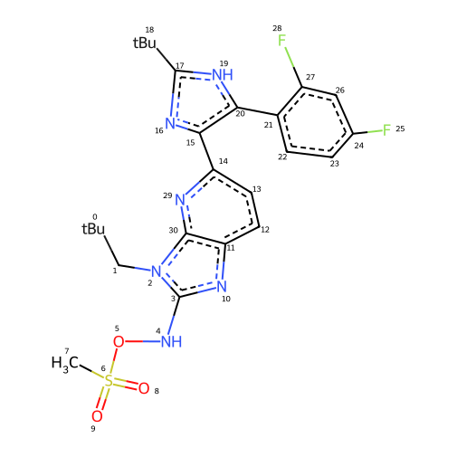 CC(C)(C)Cn1c(NOS(C)(=O)=O)nc2ccc(-c3nc(C(C)(C)C)[nH]c3-c3ccc(F)cc3F)nc21